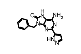 Nc1nc(-c2ccn[nH]2)nc2c1[nH]c(=O)n2Cc1ccccc1